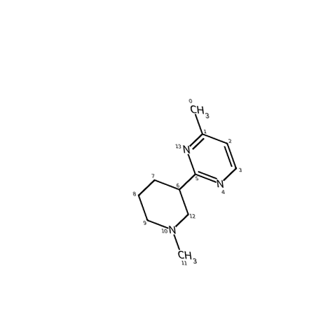 Cc1ccnc(C2CCCN(C)C2)n1